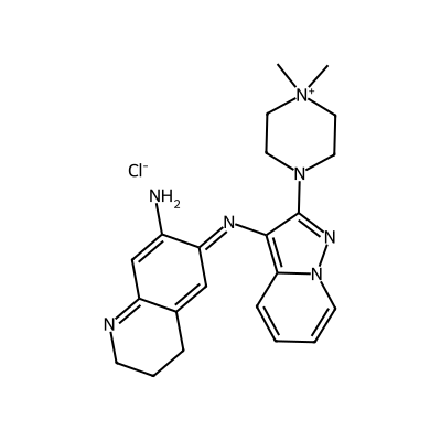 C[N+]1(C)CCN(c2nn3ccccc3c2/N=C2\C=C3CCCN=C3C=C2N)CC1.[Cl-]